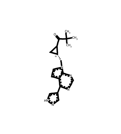 CC(C)(C)C(=O)C1C[C@H]1Cn1ccc2c(-c3cn[nH]c3)ncnc21